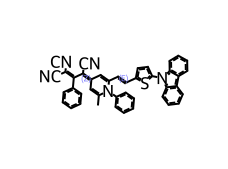 CC1=C/C(=C(/C#N)C(=C(C#N)C#N)c2ccccc2)C=C(/C=C/c2ccc(-n3c4ccccc4c4ccccc43)s2)N1c1ccccc1